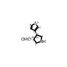 O=C[C@H]1CNC[C@@H]1c1ccsc1